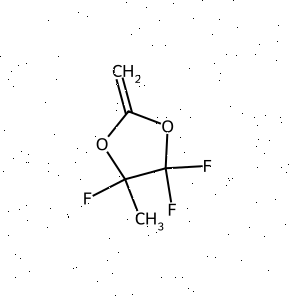 C=C1OC(C)(F)C(F)(F)O1